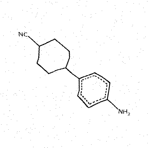 N#CC1CCC(c2ccc(N)cc2)CC1